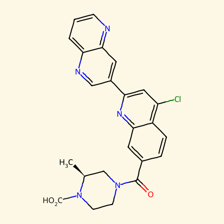 C[C@H]1CN(C(=O)c2ccc3c(Cl)cc(-c4cnc5cccnc5c4)nc3c2)CCN1C(=O)O